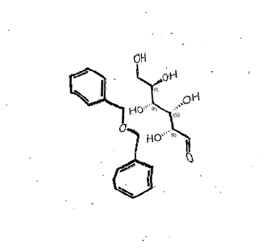 O=C[C@H](O)[C@@H](O)[C@H](O)[C@H](O)CO.c1ccc(COCc2ccccc2)cc1